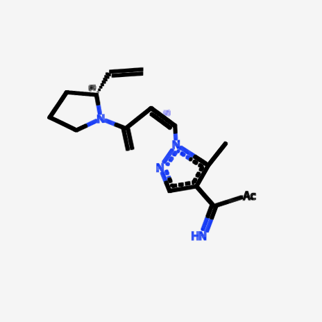 C=C[C@H]1CCCN1C(=C)/C=C\n1ncc(C(=N)C(C)=O)c1C